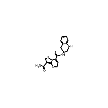 NC(=O)c1cnn2c(C(=O)NC3CNc4ncccc4C3)ccnc12